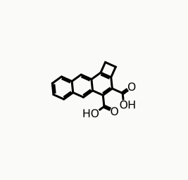 O=C(O)c1c2c(c3cc4ccccc4cc3c1C(=O)O)CC2